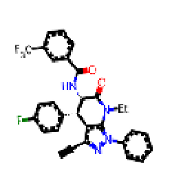 C#Cc1nn(-c2ccccc2)c2c1[C@H](c1ccc(F)cc1)[C@H](NC(=O)c1cccc(C(F)(F)F)c1)C(=O)N2CC